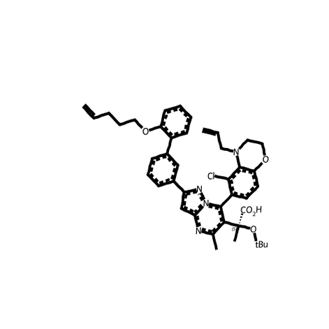 C=CCCCOc1ccccc1-c1cccc(-c2cc3nc(C)c([C@](C)(OC(C)(C)C)C(=O)O)c(-c4ccc5c(c4Cl)N(CC=C)CCO5)n3n2)c1